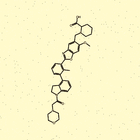 COc1cc2oc(-c3cccc(-c4cccc5c4CCN5C(=O)CN4CCOCC4)c3C)nc2cc1CN1CCCCC1C(=O)O